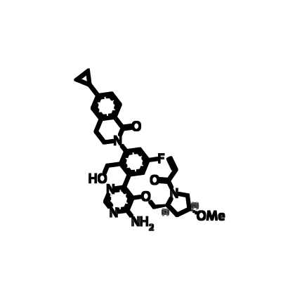 C=CC(=O)N1C[C@H](OC)C[C@H]1COc1c(N)ncnc1-c1cc(F)cc(N2CCc3cc(C4CC4)ccc3C2=O)c1CO